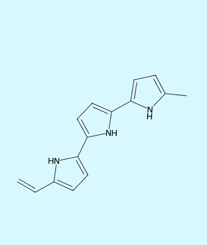 C=Cc1ccc(-c2ccc(-c3ccc(C)[nH]3)[nH]2)[nH]1